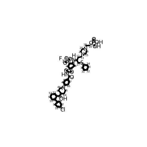 O=C(NS(=O)(=O)c1ccc(NC(CCN2CCN(CCOP(=O)(O)O)CC2)CSc2ccccc2)c(S(=O)(=O)C(F)(F)F)c1)c1ccc(N2CCC([C@@H](O)c3ccccc3-c3ccc(Cl)cc3)CC2)cc1